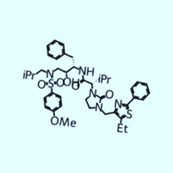 CCc1sc(-c2ccccc2)nc1CN1CCN([C@H](C(=O)N[C@@H](Cc2ccccc2)[C@@H](O)CN(CC(C)C)S(=O)(=O)c2ccc(OC)cc2)C(C)C)C1=O